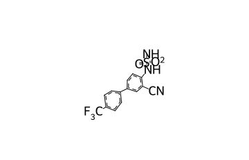 N#Cc1cc(-c2ccc(C(F)(F)F)cc2)ccc1NS(N)(=O)=O